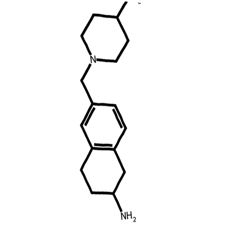 NC1CCc2cc(CN3CCC(C(F)(F)F)CC3)ccc2C1